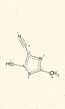 Cc1nc(C#N)c(O)o1